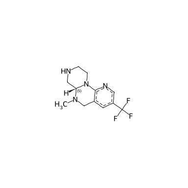 CN1Cc2cc(C(F)(F)F)cnc2N2CCNC[C@@H]12